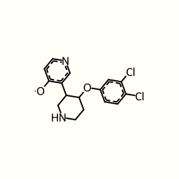 [O]c1ccncc1C1CNCCC1Oc1ccc(Cl)c(Cl)c1